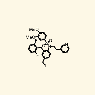 COc1ccc(S(=O)(=O)N(CCc2cccnc2)c2ccc(CI)cc2Cc2c(F)cccc2F)cc1OC